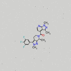 Cc1nn(C)c2nccc(C(=O)N3CCc4c(nn(C)c4-c4cc(F)c(F)c(F)c4)[C@@H]3C)c12